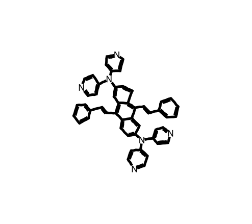 C(=C\c1c2ccc(N(c3ccncc3)c3ccncc3)cc2c(/C=C/c2ccccc2)c2ccc(N(c3ccncc3)c3ccncc3)cc12)/c1ccccc1